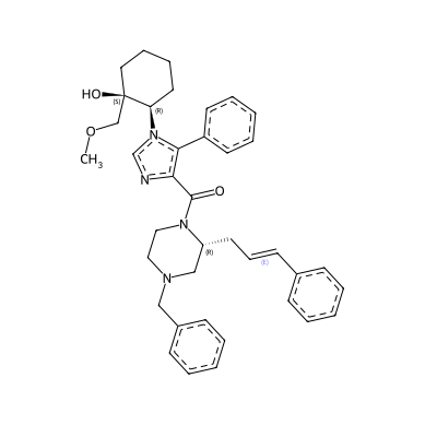 COC[C@]1(O)CCCC[C@H]1n1cnc(C(=O)N2CCN(Cc3ccccc3)C[C@H]2C/C=C/c2ccccc2)c1-c1ccccc1